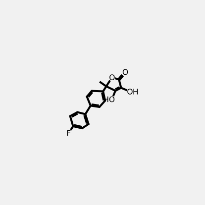 CC1(c2ccc(-c3ccc(F)cc3)cc2)OC(=O)C(O)=C1O